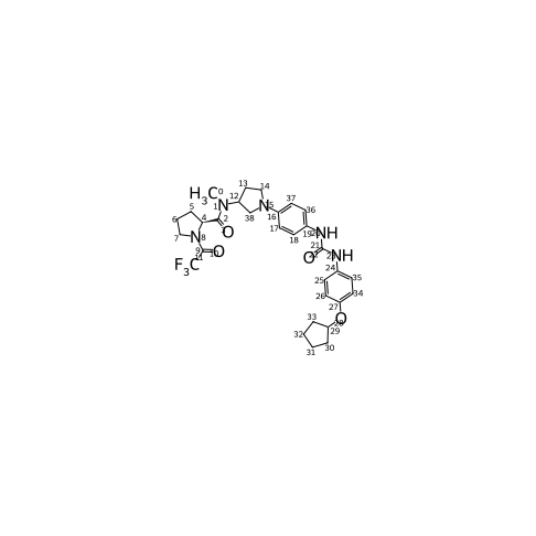 CN(C(=O)[C@@H]1CCCN1C(=O)C(F)(F)F)C1CCN(c2ccc(NC(=O)Nc3ccc(OC4CCCC4)cc3)cc2)C1